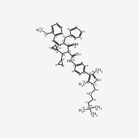 COc1ccccc1/C=C(/C)N(Cc1ccccc1)C(=N)C(C(=O)Nc1ccc(-c2c(C)nn(COCC[Si](C)(C)C)c2C)cc1)C(C1CC1)C1CC1